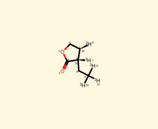 [2H][C@@H]1COC(=O)[C@@]1([2H])CC([2H])([2H])[2H]